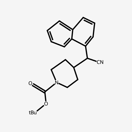 CC(C)(C)OC(=O)N1CCC(C(C#N)c2cccc3ccccc23)CC1